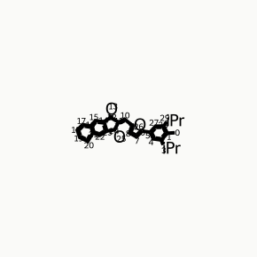 Cc1c(C(C)C)cc(-c2ccc(C=C3C(=O)c4cc5ccccc5cc4C3=O)o2)cc1C(C)C